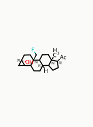 CC(=O)[C@H]1CCC2[C@@H]3CCC4C5C[C@@]5(O)CC[C@]4(CF)C3CC[C@@]21C